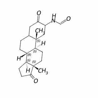 C[C@]12CC(NC=O)C(=O)CC1CC[C@@H]1[C@@H]2CC[C@]2(C)C(=O)CC[C@@H]12